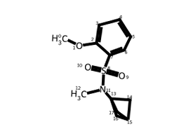 COc1ccccc1S(=O)(=O)N(C)C12CC(C1)C2